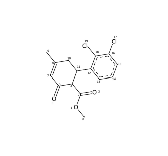 COC(=O)C1C(=O)C=C(C)CC1c1cccc(Cl)c1Cl